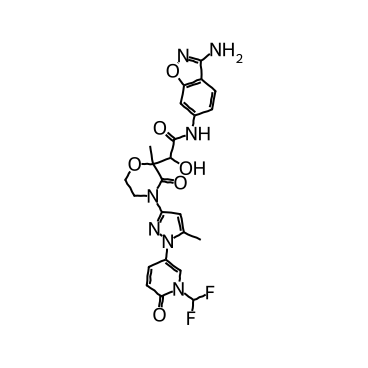 Cc1cc(N2CCOC(C)(C(O)C(=O)Nc3ccc4c(N)noc4c3)C2=O)nn1-c1ccc(=O)n(C(F)F)c1